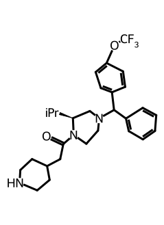 CC(C)[C@H]1CN(C(c2ccccc2)c2ccc(OC(F)(F)F)cc2)CCN1C(=O)CC1CCNCC1